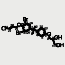 CC(C)(c1ccc(OCC(O)CO)cc1)c1cc(Br)c(OC/C=C/Cl)c(Br)c1